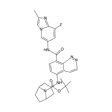 Cc1cn2cc(NC(=O)c3ccc(NC4CC5CCC(C4)N5C(=O)OC(C)(C)C)c4ccnnc34)cc(F)c2n1